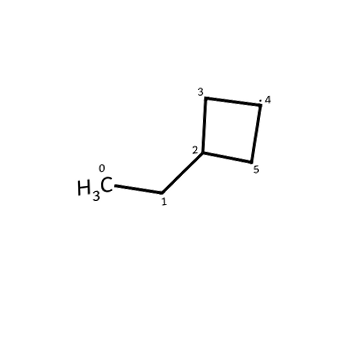 CCC1C[CH]C1